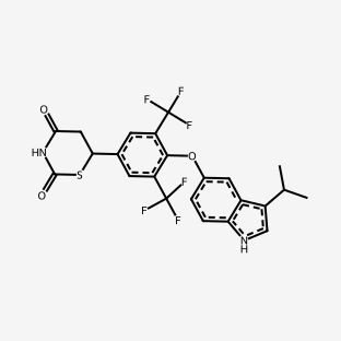 CC(C)c1c[nH]c2ccc(Oc3c(C(F)(F)F)cc(C4CC(=O)NC(=O)S4)cc3C(F)(F)F)cc12